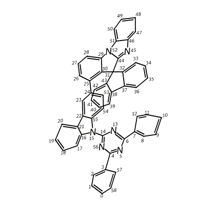 c1ccc(-c2nc(-c3ccccc3)nc(-n3c4ccccc4c4cc(-c5cccc6c5C5(c7ccccc7-c7ccccc75)c5nc7ccccc7n5-6)ccc43)n2)cc1